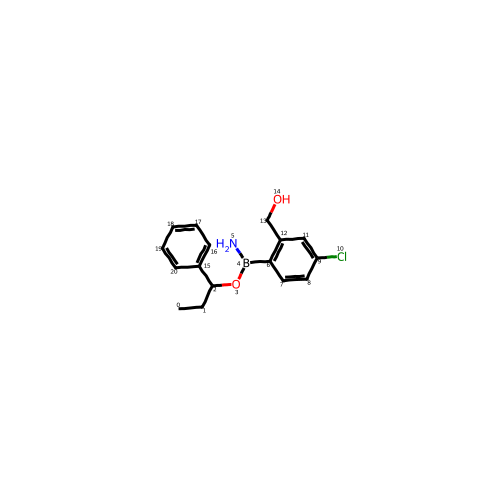 CCC(OB(N)c1ccc(Cl)cc1CO)c1ccccc1